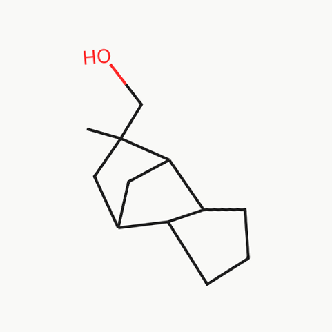 CC1(CO)CC2CC1C1CCCC21